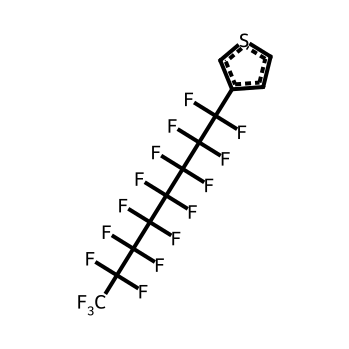 FC(F)(F)C(F)(F)C(F)(F)C(F)(F)C(F)(F)C(F)(F)C(F)(F)C(F)(F)c1ccsc1